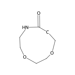 O=C1CCOCCOCCN1